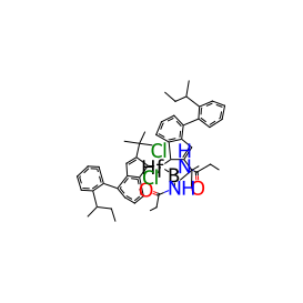 CCC(=O)N[B](NC(=O)CC)[Hf]([Cl])([Cl])([CH]1C(C(C)(C)C)=Cc2c(-c3ccccc3C(C)CC)cccc21)[CH]1C(C(C)(C)C)=Cc2c(-c3ccccc3C(C)CC)cccc21